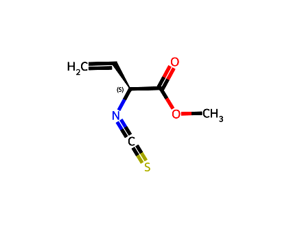 C=C[C@H](N=C=S)C(=O)OC